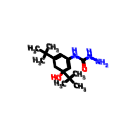 CC(C)(C)C1=CC(NC(=O)NN)=CC(O)(C(C)(C)C)C1